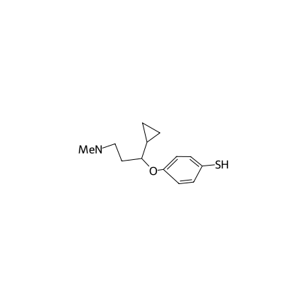 CNCCC(Oc1ccc(S)cc1)C1CC1